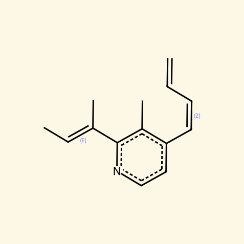 C=C/C=C\c1ccnc(/C(C)=C/C)c1C